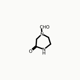 O=CN1CCNC(=O)C1